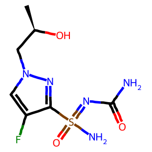 C[C@@H](O)Cn1cc(F)c(S(N)(=O)=NC(N)=O)n1